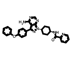 Nc1ncnc2c1c(-c1ccc(Oc3ccccc3)cc1)nn2[C@H]1CC[C@H](NC(=O)c2ccccn2)CC1